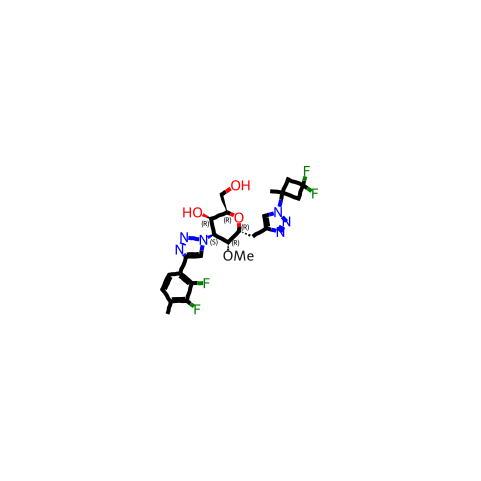 CO[C@@H]1[C@@H](n2cc(-c3ccc(C)c(F)c3F)nn2)[C@@H](O)[C@@H](CO)O[C@@H]1Cc1cn(C2(C)CC(F)(F)C2)nn1